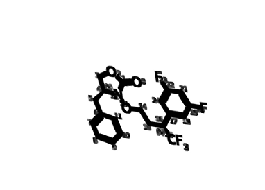 O=C1OC[C@H](Cc2ccccc2)N1OCC[C@@H](c1cc(F)cc(F)c1)C(F)(F)F